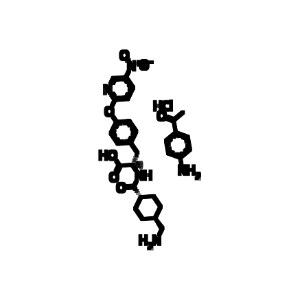 CC(=O)c1ccc(N)cc1.Cl.NC[C@H]1CC[C@H](C(=O)N[C@@H](Cc2ccc(Oc3ccc([N+](=O)[O-])cn3)cc2)C(=O)O)CC1